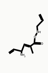 C=CCNOC(=O)C(C)=CC(N)C=C